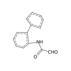 O=CC(=O)Nc1ccccc1-c1ccccc1